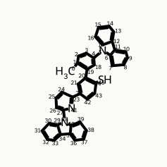 Cc1ccc(-n2c3ccccc3c3ccccc32)cc1-c1cc(-c2cccc(-n3c4ccccc4c4ccccc43)n2)ccc1S